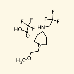 COCCN1CCC(NCC(F)(F)F)CC1.O=C(O)C(F)(F)F